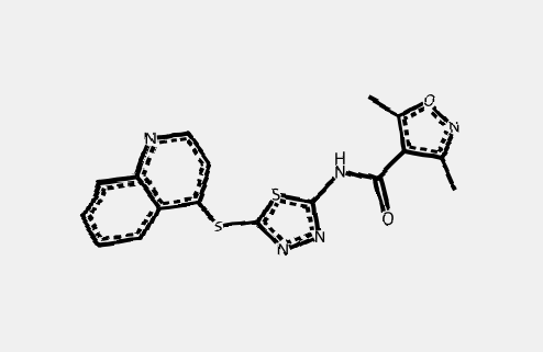 Cc1noc(C)c1C(=O)Nc1nnc(Sc2ccnc3ccccc23)s1